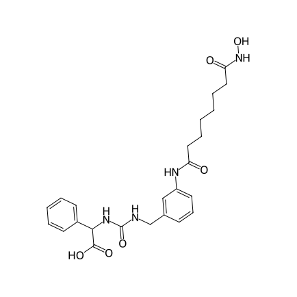 O=C(CCCCCCC(=O)Nc1cccc(CNC(=O)NC(C(=O)O)c2ccccc2)c1)NO